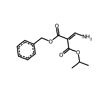 CC(C)OC(=O)C(=CN)C(=O)OCc1ccccc1